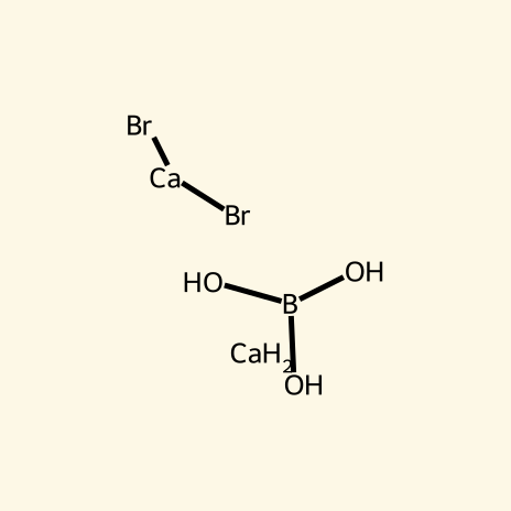 OB(O)O.[Br][Ca][Br].[CaH2]